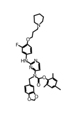 Cc1cc(C)c(OC(=O)N(Cc2ccc3c(c2)OCO3)c2ccnc(Nc3ccc(OCCCN4CCCCC4)c(F)c3)n2)c(C)c1